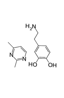 Cc1ccnc(C)n1.NCCc1ccc(O)c(O)c1